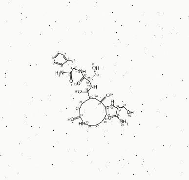 NC(=O)[C@H](Cc1ccccc1)NC(=O)[C@H](CO)NC(=O)C1CCC(=O)NCCCCC(N[C@@H](CO)C(N)=O)C(=O)C1